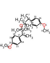 COc1ccc(C(C)[Si](C)(C)O[Si](C)(C)C(C)c2ccc(OC)cc2)cc1